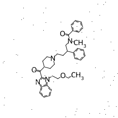 CCOCCn1c(C(=O)C2CCN(CCC(CN(C)C(=O)c3ccccc3)c3ccccc3)CC2)nc2ccccc21